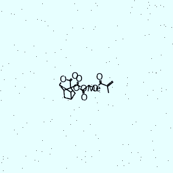 C=C(C)C(=O)OCC(=O)OC1C2CC3C1OC(=O)C3(C(=O)OC)C2